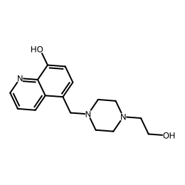 OCCN1CCN(Cc2ccc(O)c3ncccc23)CC1